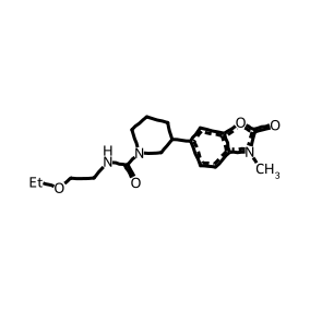 CCOCCNC(=O)N1CCCC(c2ccc3c(c2)oc(=O)n3C)C1